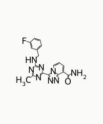 Cc1nc(NCc2cccc(F)c2)nc(-c2nnc3c(C(N)=O)cccn23)n1